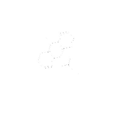 C=C(C)C(=O)O.Cc1c2ccccc2cc2ccccc12